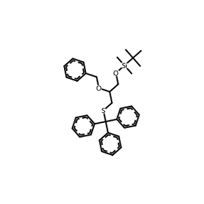 CC(C)(C)[Si](C)(C)OCC(CSC(c1ccccc1)(c1ccccc1)c1ccccc1)OCc1ccccc1